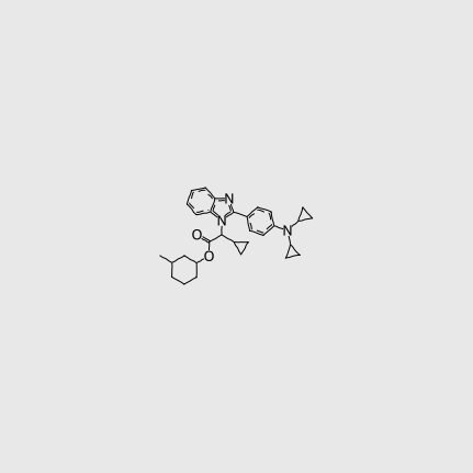 CC1CCCC(OC(=O)C(C2CC2)n2c(-c3ccc(N(C4CC4)C4CC4)cc3)nc3ccccc32)C1